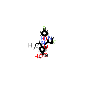 CCC(NC(=O)c1cc(F)cnc1Oc1ccc(F)cc1)c1ccc(C(=O)O)cc1